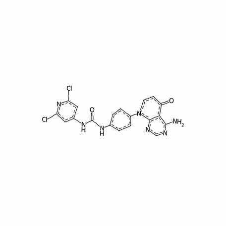 Nc1ncnc2c1c(=O)ccn2-c1ccc(NC(=O)Nc2cc(Cl)nc(Cl)c2)cc1